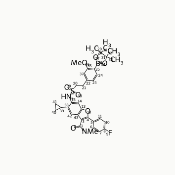 CNC(=O)c1c(-c2ccc(F)cc2)oc2cc(NS(=O)(=O)CCc3ccc(B4OC(C)(C)C(C)(C)O4)c(OC)c3)c(C3CC3)cc12